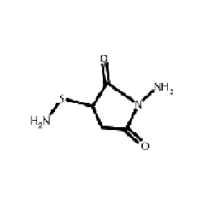 NSC1CC(=O)N(N)C1=O